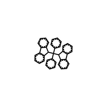 c1ccc(C(c2ccccc2)(C2c3ccccc3-c3ccccc32)C2c3ccccc3-c3ccccc32)cc1